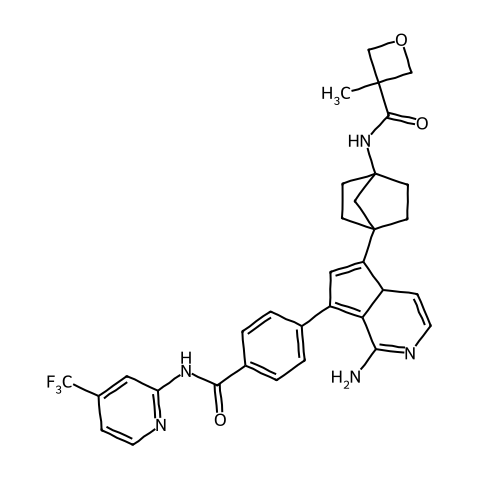 CC1(C(=O)NC23CCC(C4=CC(c5ccc(C(=O)Nc6cc(C(F)(F)F)ccn6)cc5)=C5C(N)=NC=CC45)(CC2)C3)COC1